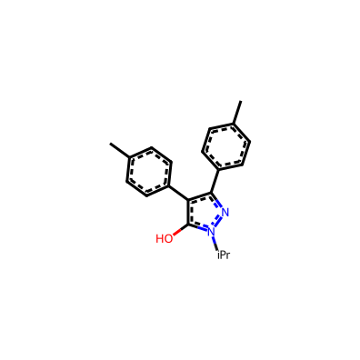 Cc1ccc(-c2nn(C(C)C)c(O)c2-c2ccc(C)cc2)cc1